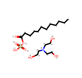 CCCCCCCCCCCC(=O)OS(=O)(=O)O.OCCN(CCO)CCO